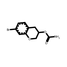 NC(=O)OC1COc2cc(Br)ccc2C1